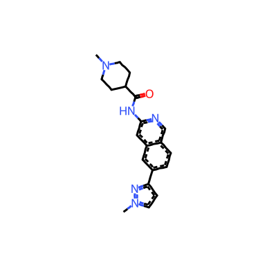 CN1CCC(C(=O)Nc2cc3cc(-c4ccn(C)n4)ccc3cn2)CC1